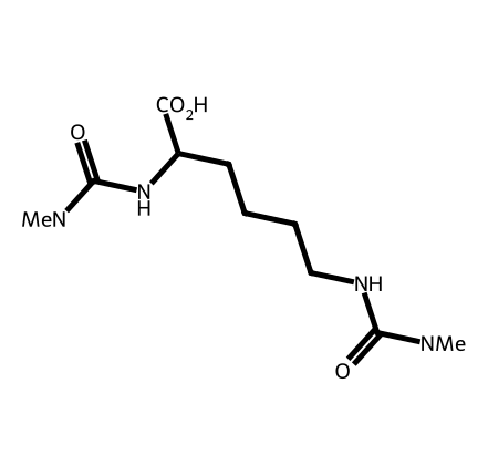 CNC(=O)NCCCCC(NC(=O)NC)C(=O)O